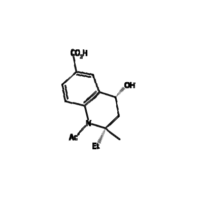 CC[C@@]1(C)C[C@@H](O)c2cc(C(=O)O)ccc2N1C(C)=O